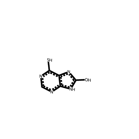 Oc1nc2c(S)ncnc2[nH]1